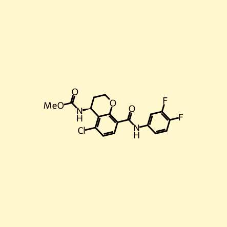 COC(=O)N[C@H]1CCOc2c(C(=O)Nc3ccc(F)c(F)c3)ccc(Cl)c21